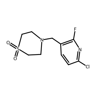 O=S1(=O)CCN(Cc2ccc(Cl)nc2F)CC1